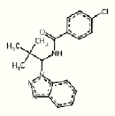 CC(C)(C)C(NC(=O)c1ccc(Cl)cc1)n1nnc2ccccc21